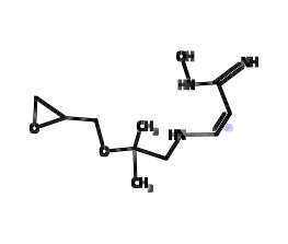 CC(C)(CN/C=C\C(=N)NO)OCC1CO1